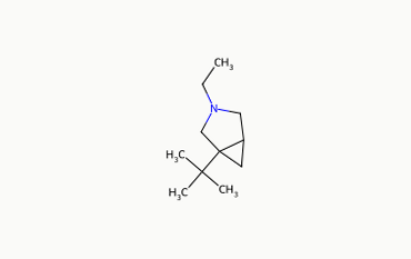 CCN1CC2CC2(C(C)(C)C)C1